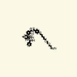 CCCOCCOCCOCCCCCCOc1ccc(C(C)NC(=O)c2cccc(NC3(C(=N)NC(=N)c4ccncc4)CCN(C)CC3)c2)cc1